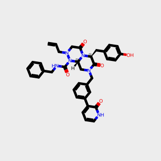 C=CCN1CC(=O)N2[C@@H](Cc3ccc(O)cc3)C(=O)N(Cc3cccc(-c4ccc[nH]c4=O)c3)C[C@@H]2N1C(=O)NCc1ccccc1